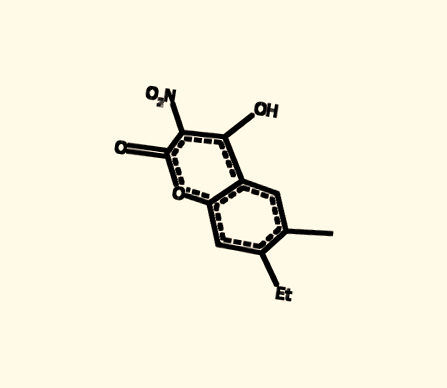 CCc1cc2oc(=O)c([N+](=O)[O-])c(O)c2cc1C